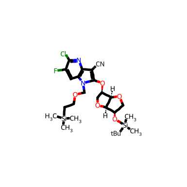 CC(C)(C)[Si](C)(C)O[C@@H]1CO[C@H]2[C@@H]1OC[C@H]2Oc1c(C#N)c2nc(Cl)c(F)cc2n1COCC[Si](C)(C)C